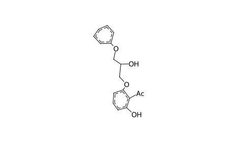 CC(=O)c1c(O)cccc1OCC(O)COc1ccccc1